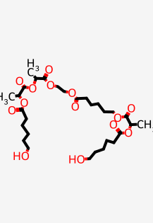 CC(OC(=O)CCCCCO)C(=O)OCCCCCC(=O)OCCOC(=O)C(C)OC(=O)C(C)OC(=O)CCCCCO